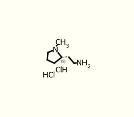 CN1CCC[C@H]1CCN.Cl.Cl